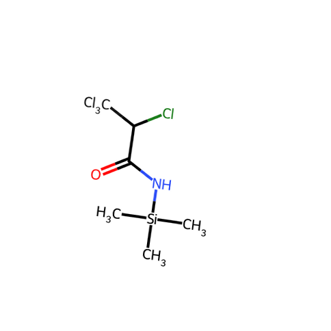 C[Si](C)(C)NC(=O)C(Cl)C(Cl)(Cl)Cl